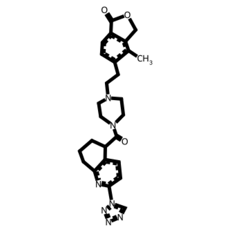 Cc1c(CCN2CCN(C(=O)C3CCCc4nc(-n5cnnn5)ccc43)CC2)ccc2c1COC2=O